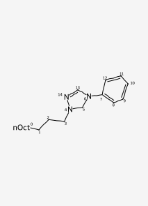 CCCCCCCCCCCN1CN(c2ccccc2)C=N1